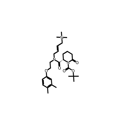 Cc1ccc(OCCN(CC=CC[Si](C)(C)C)C(=O)[C@@H]2CCCC(=O)N2C(=O)OC(C)(C)C)cc1C